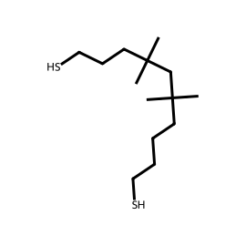 CC(C)(CCCS)CC(C)(C)CCCCS